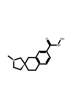 CN1CC[C@@]2(CCc3ccc(C(=O)NO)cc3C2)C1